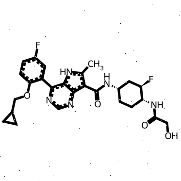 Cc1[nH]c2c(-c3cc(F)ccc3OCC3CC3)ncnc2c1C(=O)N[C@H]1CC[C@@H](NC(=O)CO)[C@H](F)C1